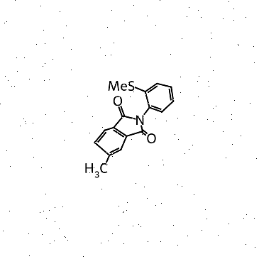 CSc1ccccc1N1C(=O)c2ccc(C)cc2C1=O